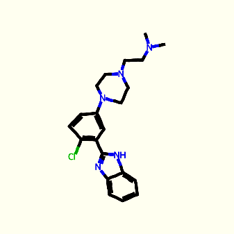 CN(C)CCN1CCN(c2ccc(Cl)c(-c3nc4ccccc4[nH]3)c2)CC1